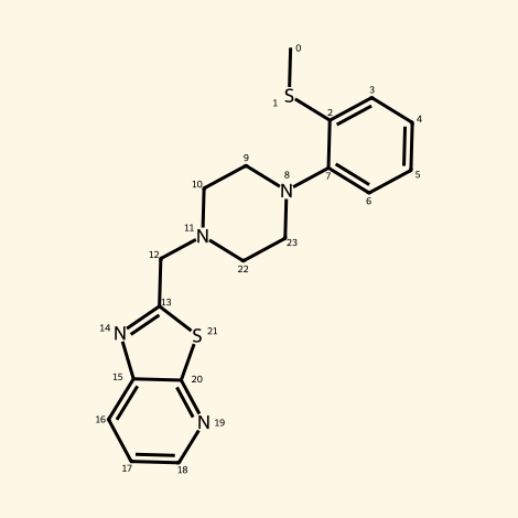 CSc1ccccc1N1CCN(Cc2nc3cccnc3s2)CC1